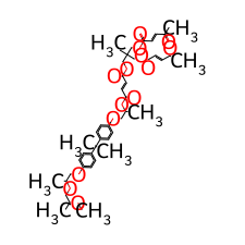 CCC(COC(=O)/C=C/C(C)=O)(COC(=O)/C=C/C(C)=O)COC(=O)/C=C/C(=O)OC(C)COc1ccc(C(C)(C)c2ccc(OCC(C)OCC(C)OC)cc2)cc1